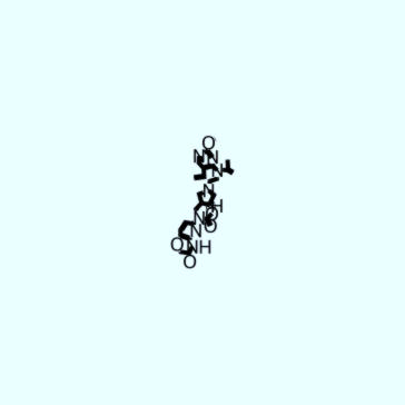 C=Cc1cnc(OC)nc1N(CCN1CC2CN(c3ccc4c(n3)NC(=O)CO4)C(=O)O[C@@H]2C1)C(=C)C